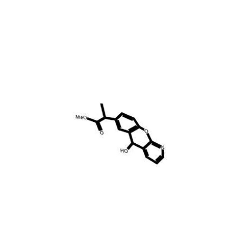 COC(=O)C(C)c1ccc2c(c1)C(O)c1cccnc1O2